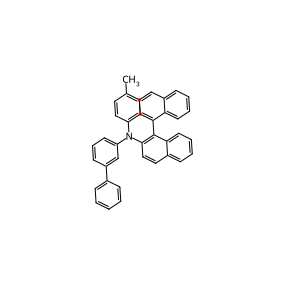 Cc1ccc(N(c2cccc(-c3ccccc3)c2)c2ccc3ccccc3c2-c2cccc3ccccc23)cc1